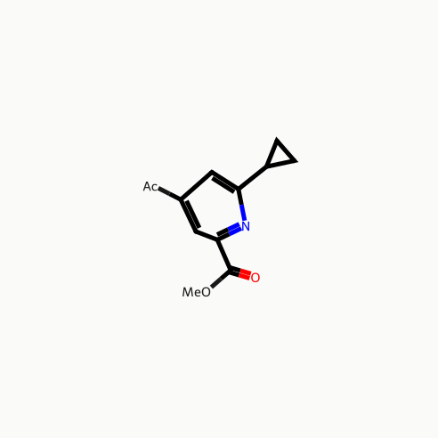 COC(=O)c1cc(C(C)=O)cc(C2CC2)n1